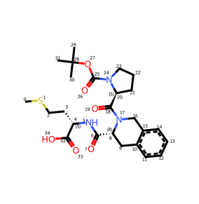 CSCC[C@H](NC(=O)[C@H]1Cc2ccccc2CN1C(=O)[C@@H]1CCCN1C(=O)OC(C)(C)C)C(=O)O